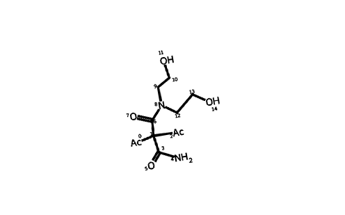 CC(=O)C(C(C)=O)(C(N)=O)C(=O)N(CCO)CCO